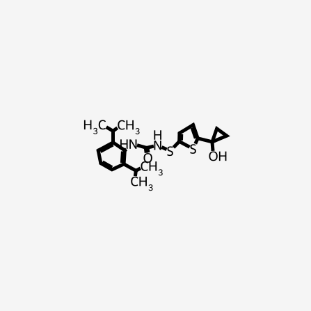 CC(C)c1cccc(C(C)C)c1NC(=O)NSc1ccc(C2(O)CC2)s1